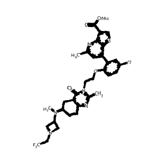 COC(=O)c1csc2c(-c3cc(Cl)ccc3OCCn3c(C)nc4c(c3=O)CC(N(C)C3CN(CC(F)(F)F)C3)CC4)cc(C)nc12